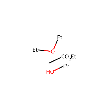 CC(C)O.CCOC(C)=O.CCOCC